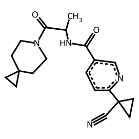 CC(NC(=O)c1ccc(C2(C#N)CC2)nc1)C(=O)N1CCC2(CC1)CC2